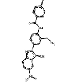 CCc1cc(-c2nc3ccc([N+](=O)[O-])cc3n2O)ccc1NC(=O)c1ccc(F)cc1